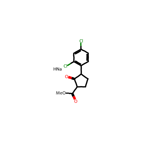 COC(=O)C1CCC(c2ccc(Cl)cc2Cl)C1=O.[NaH]